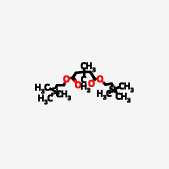 CC(C)(CC(=O)OCC[Si](C)(C)C)CC(=O)OCC[Si](C)(C)C